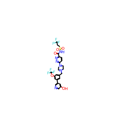 O=C(NS(=O)(=O)CCC(F)(F)F)c1ccc(N2CCN(Cc3cc(OC(F)(F)F)cc(-c4cncc(O)c4)c3)CC2)nn1